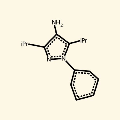 CC(C)c1nn(-c2ccccc2)c(C(C)C)c1N